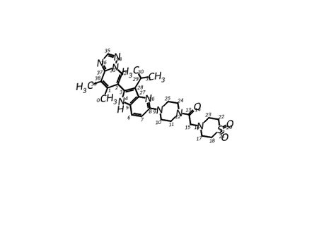 Cc1c(-c2[nH]c3ccc(N4CCN(C(=O)CN5CCS(=O)(=O)CC5)CC4)nc3c2C(C)C)cn2ncnc2c1C